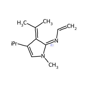 C=C/N=C1\C(=C(C)C)C(C(C)C)=CN1C